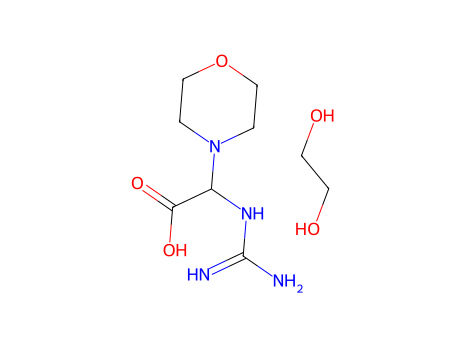 N=C(N)NC(C(=O)O)N1CCOCC1.OCCO